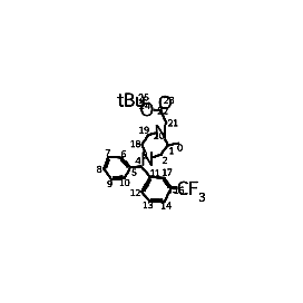 CC1CN(C(c2ccccc2)c2cccc(C(F)(F)F)c2)CCN1CC(=O)OC(C)(C)C